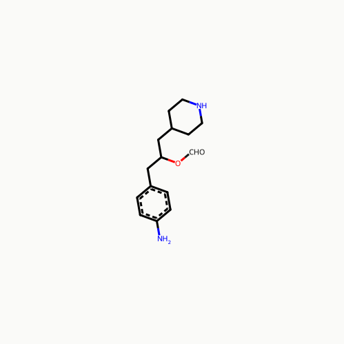 Nc1ccc(CC(CC2CCNCC2)OC=O)cc1